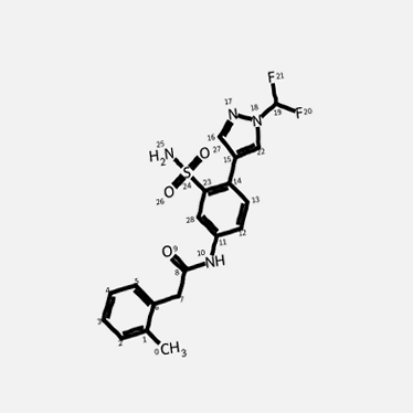 Cc1ccccc1CC(=O)Nc1ccc(-c2cnn(C(F)F)c2)c(S(N)(=O)=O)c1